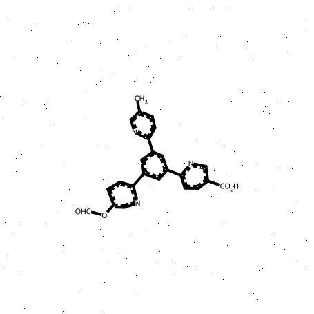 Cc1ccc(-c2cc(-c3ccc(OC=O)cn3)cc(-c3ccc(C(=O)O)cn3)c2)nc1